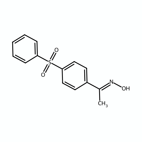 CC(=NO)c1ccc(S(=O)(=O)c2ccccc2)cc1